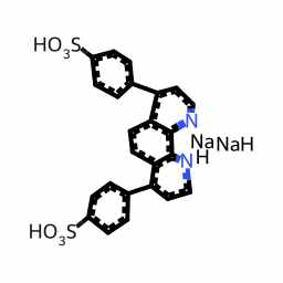 O=S(=O)(O)c1ccc(-c2ccnc3c2ccc2c(-c4ccc(S(=O)(=O)O)cc4)ccnc23)cc1.[NaH].[NaH]